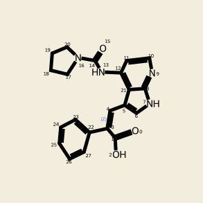 O=C(O)/C(=C\c1c[nH]c2nccc(NC(=O)N3CCCC3)c12)c1ccccc1